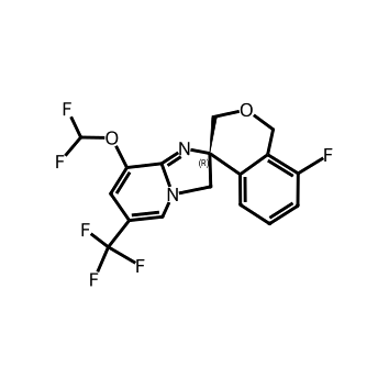 Fc1cccc2c1COC[C@]21CN2C=C(C(F)(F)F)C=C(OC(F)F)C2=N1